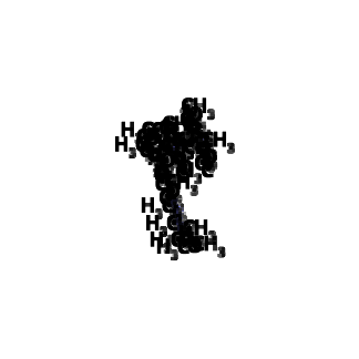 CC(C)OC(=O)C(C)(C)Oc1ccc(C(=O)c2ccc(Cl)cc2)cc1.CC/C(=C(/CC)c1ccc(OC)cc1)c1ccc(OC)cc1.CCC(=O)Oc1ccc(/C(CC)=C(\CC)c2ccc(OC(=O)CC)cc2)cc1.CCOC(=O)/C=C(C)/C=C/C=C(C)/C=C/c1c(C)cc(OC)c(C)c1C